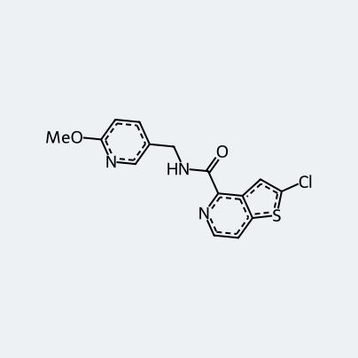 COc1ccc(CNC(=O)c2nccc3sc(Cl)cc23)cn1